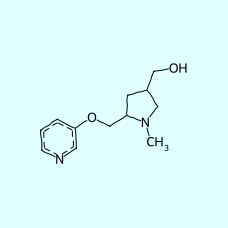 CN1CC(CO)CC1COc1cccnc1